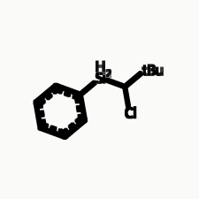 CC(C)(C)C(Cl)[SiH2]c1ccccc1